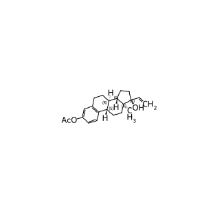 C=C[C@@]1(O)CC[C@H]2[C@@H]3CCc4cc(OC(C)=O)ccc4[C@H]3CC[C@@]21C